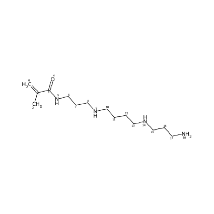 C=C(C)C(=O)NCCCNCCCCNCCCN